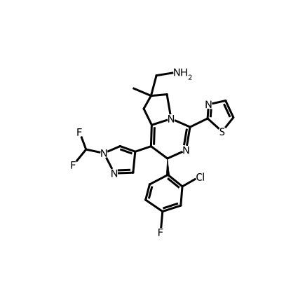 CC1(CN)CC2=C(c3cnn(C(F)F)c3)[C@H](c3ccc(F)cc3Cl)N=C(c3nccs3)N2C1